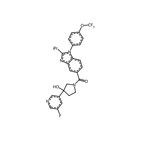 CC(C)c1nc2cc(C(=O)N3CCC(O)(c4cncc(F)c4)C3)ccc2n1-c1ccc(OC(F)(F)F)cc1